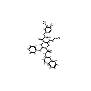 NC(Cc1ccc(Cl)c(Cl)c1)C(=O)N1CC(Cc2ccccc2)N(C(=O)Cc2ccc3ccccc3c2)CC1CCCO